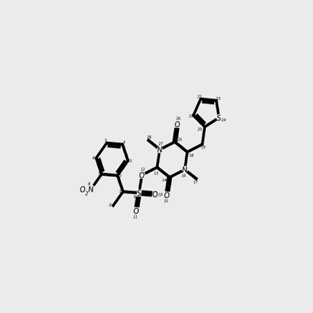 CC(c1ccccc1[N+](=O)[O-])S(=O)(=O)OC1C(=O)N(C)C(Cc2cccs2)C(=O)N1C